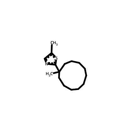 Cc1cnc(C2(C)CCCCCCCCCC2)s1